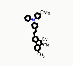 COc1ccc(N(c2ccccc2)c2ccc(C=Cc3ccc4c(c3)c(C#N)c(C#N)c3cc(C)ccc34)cc2)cc1